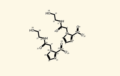 O=C(Cn1ccnc1[N+](=O)[O-])NCCO.O=C(Cn1ccnc1[N+](=O)[O-])NCCO